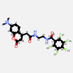 CN(C)c1ccc2c(CC(=O)NCCNC(=O)c3c(F)c(F)c(F)c(F)c3F)cc(=O)oc2c1